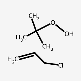 C=CCCl.CC(C)(C)OO